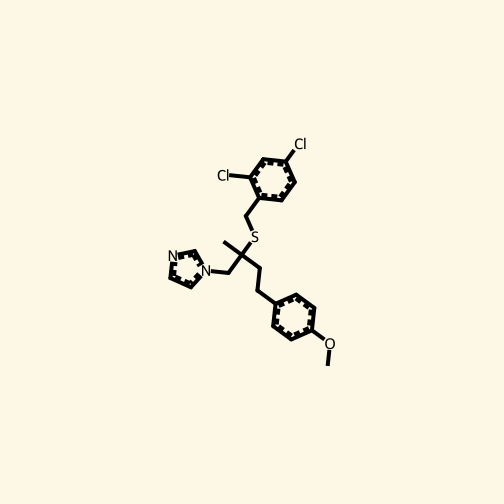 COc1ccc(CCC(C)(Cn2ccnc2)SCc2ccc(Cl)cc2Cl)cc1